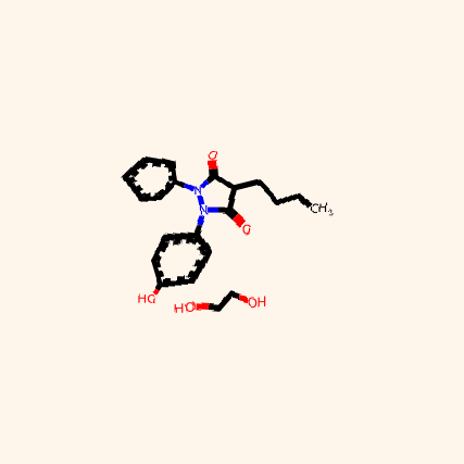 CCCCC1C(=O)N(c2ccccc2)N(c2ccc(O)cc2)C1=O.OCCO